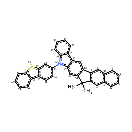 CC1(C)c2cc3ccccc3cc2-c2cc3c4ccccc4n(-c4ccc5c(c4)sc4ccccc45)c3cc21